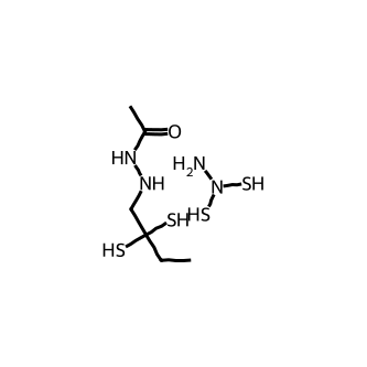 CCC(S)(S)CNNC(C)=O.NN(S)S